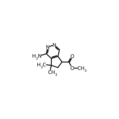 COC(=O)C1CC(C)(C)c2c1cnnc2N